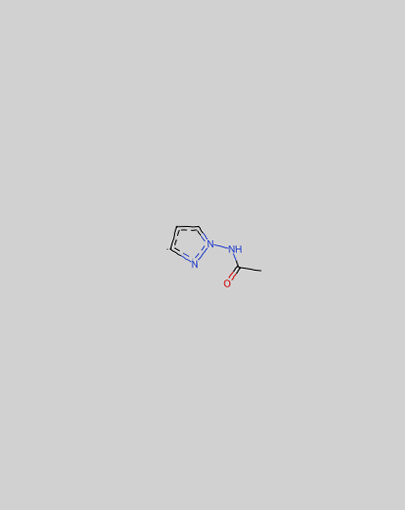 CC(=O)Nn1cc[c]n1